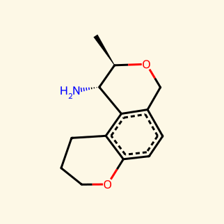 C[C@H]1OCc2ccc3c(c2[C@@H]1N)CCCO3